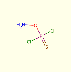 NOP(=S)(Cl)Cl